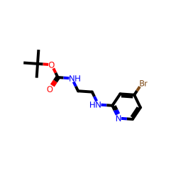 CC(C)(C)OC(=O)NCCNc1cc(Br)ccn1